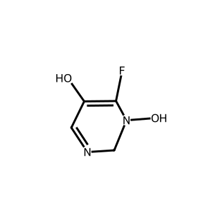 OC1=C(F)N(O)CN=C1